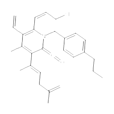 C=CC1=C(/C=C\CCl)N(Cc2ccc(CCC)cc2)C(=C=O)C(/C(C)=C/CC(=C)C)=C1C